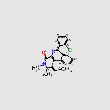 C/C=C/C(C)N(C)C(=O)c1cc2ccccc2c(-c2ccccc2Cl)n1